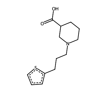 O=C(O)C1CCCN(CCCc2cccs2)C1